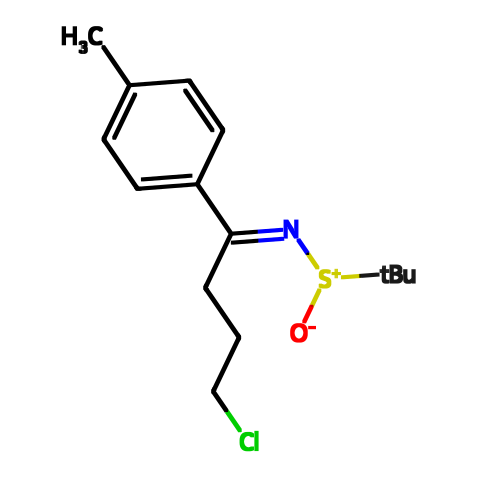 Cc1ccc(C(CCCCl)=N[S+]([O-])C(C)(C)C)cc1